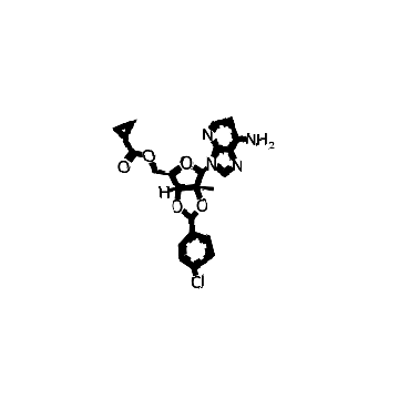 C[C@@]12OC(c3ccc(Cl)cc3)O[C@@H]1[C@@H](COC(=O)C1CC1)O[C@H]2n1cnc2c(N)ccnc21